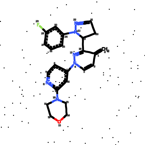 C=C1C=CN(c2ccnc(N3CCOCC3)c2)N=C1C1CC=NN1c1cccc(F)c1